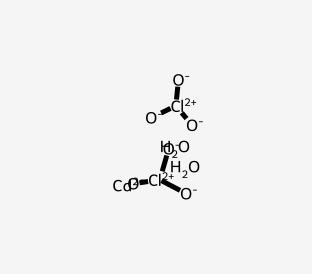 O.O.[Cd+2].[O-][Cl+2]([O-])[O-].[O-][Cl+2]([O-])[O-]